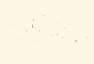 CCOc1ccc(CC)cc1N1CCCN(Cc2nc(-c3ccccc3)sc2C)CC1